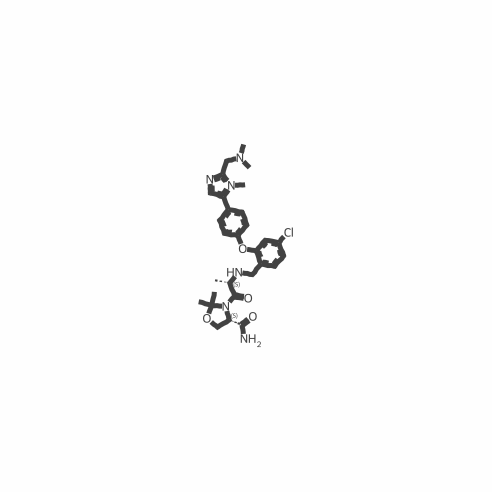 C[C@H](NCc1ccc(Cl)cc1Oc1ccc(-c2cnc(CN(C)C)n2C)cc1)C(=O)N1[C@H](C(N)=O)COC1(C)C